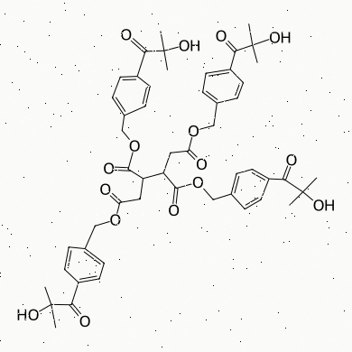 CC(C)(O)C(=O)c1ccc(COC(=O)CC(C(=O)OCc2ccc(C(=O)C(C)(C)O)cc2)C(CC(=O)OCc2ccc(C(=O)C(C)(C)O)cc2)C(=O)OCc2ccc(C(=O)C(C)(C)O)cc2)cc1